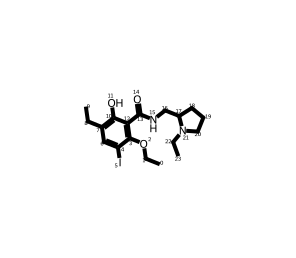 CCOc1c(I)cc(CC)c(O)c1C(=O)NCC1CCCN1CC